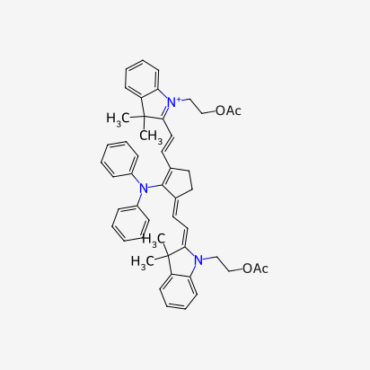 CC(=O)OCCN1/C(=C/C=C2\CCC(/C=C/C3=[N+](CCOC(C)=O)c4ccccc4C3(C)C)=C2N(c2ccccc2)c2ccccc2)C(C)(C)c2ccccc21